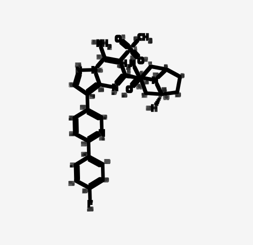 CS(=O)(=O)c1c([C@H]2CC3CC[C@@H](C2)N3C(N)=O)nc2c(-c3ccc(-c4ccc(F)cc4)nc3)cnn2c1N